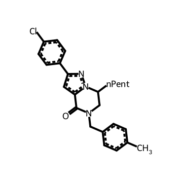 CCCCCC1CN(Cc2ccc(C)cc2)C(=O)c2cc(-c3ccc(Cl)cc3)nn21